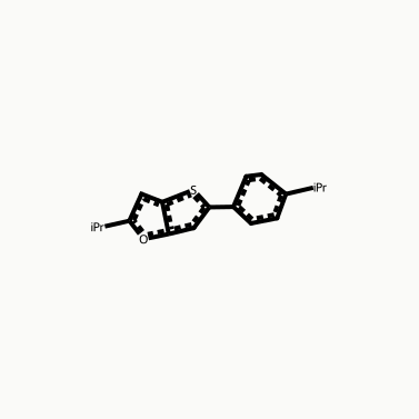 CC(C)c1ccc(-c2cc3oc(C(C)C)cc3s2)cc1